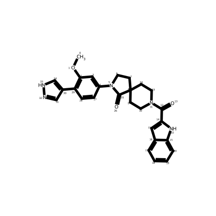 COc1cc(N2CCC3(CCN(C(=O)c4cc5ccccc5[nH]4)CC3)C2=O)ccc1-c1cn[nH]c1